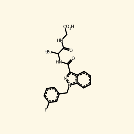 CC(C)(C)C(NC(=O)c1nn(Cc2cccc(F)c2)c2ccccc12)C(=O)NCC(=O)O